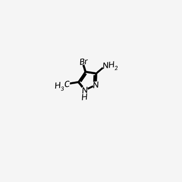 Cc1[nH]nc(N)c1Br